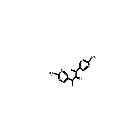 CC(C(=O)C(C)c1cnc(N)nc1)c1cnc(N)nc1